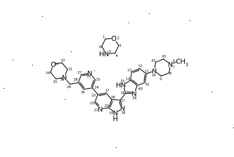 C1COCCN1.CN1CCN(c2ccc3[nH]c(-c4n[nH]c5ncc(-c6cncc(CN7CCOCC7)c6)cc45)nc3c2)CC1